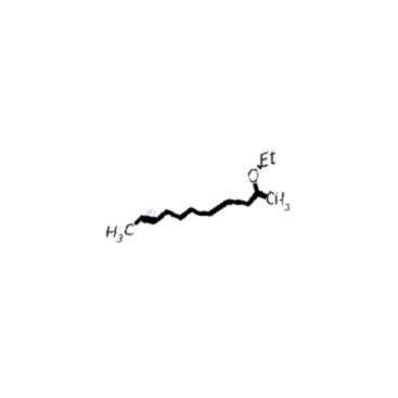 C/C=C/CCCCCCC(C)OCC